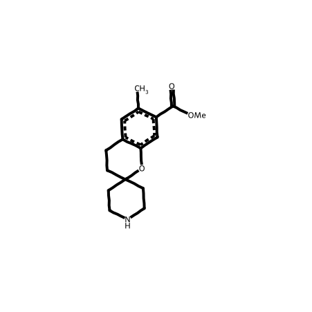 COC(=O)c1cc2c(cc1C)CCC1(CCNCC1)O2